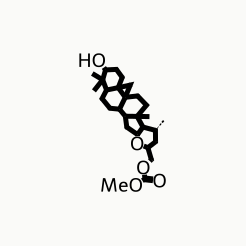 COC(=O)OCC1C[C@@H](C)C2C(CC3C4CCC5C(C)(C)C(O)CCC56CC46CCC32C)O1